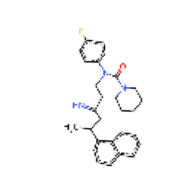 CC(CC(=N)CCN(C(=O)N1CCCCC1)c1ccc(F)cc1)c1cccc2ccccc12